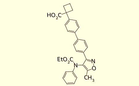 CCOC(=O)N(c1ccccc1)c1c(-c2ccc(-c3ccc(C4(C(=O)O)CCC4)cc3)cc2)noc1C